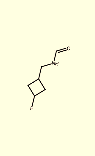 O=[C]NCC1CC(F)C1